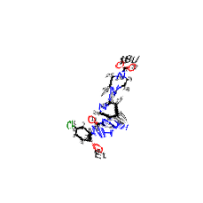 CCOc1ccc(Cl)cc1NC(=O)Nc1ccc(N2CCN(C(=O)OC(C)(C)C)CC2)nc1